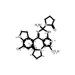 NC1(N2CCCC2=O)N=C(c2c(Cl)cc(Cl)c3c2CCO3)c2c(sc(C(=O)O)c2N2CCCC2=O)N1